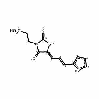 O=C(O)CCN1C(=O)C(=CC=Cc2cccs2)SC1=S